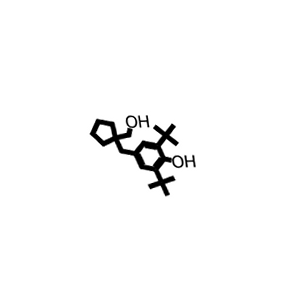 CC(C)(C)c1cc(CC2(CO)CCCC2)cc(C(C)(C)C)c1O